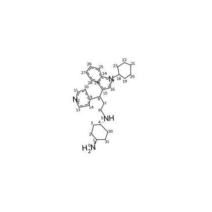 N[C@H]1CC[C@H](NCCC(c2ccncc2)c2cn(C3CCCCC3)c3ccccc23)CC1